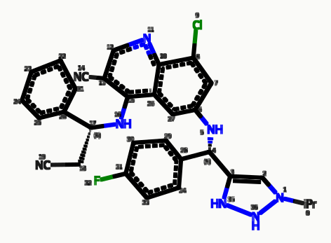 CC(C)N1C=C([C@@H](Nc2cc(Cl)c3ncc(C#N)c(N[C@H](CC#N)c4ccccc4)c3c2)c2ccc(F)cc2)NN1